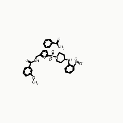 COc1cccc(C(=O)NCc2ccc(S(=O)(=O)N3CCC(Nc4ccccc4[N+](=O)[O-])CC3)s2)c1.NC(=O)c1ccccc1